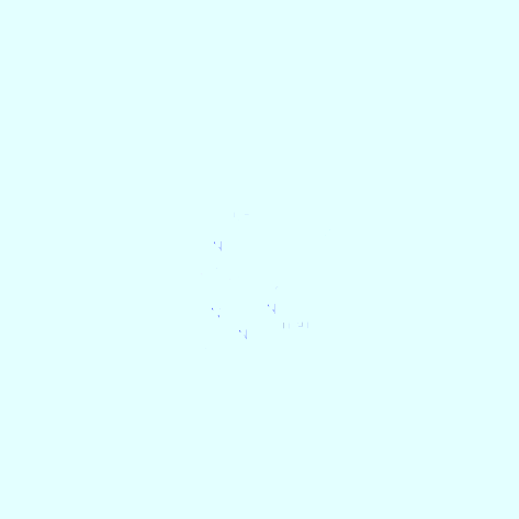 CCCCN(C(=O)c1cccc(Cl)c1)c1nc2n(c1OC(=O)NCc1ccccc1C(F)(F)F)CCCC2